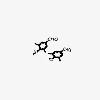 CC.Cc1cc(C=O)cc(C)c1Cl.Cc1cc(C=O)cc(C)c1Cl